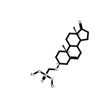 CCOP(=O)(CO[C@H]1CC[C@@]2(C)C(=CCC3C2CC[C@]2(C)C(=O)CCC32)C1)OCC